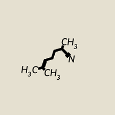 CC(C)=CCCC(C)C#N